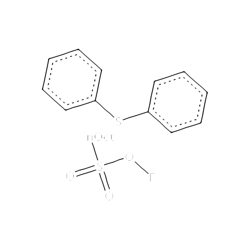 CCCCCCCCS(=O)(=O)OF.c1ccc(Sc2ccccc2)cc1